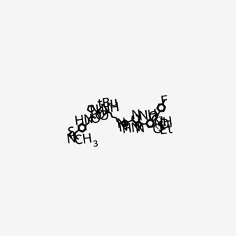 CCS(=O)(=O)Nc1ccc(-c2n[nH]c3c(-c4cnn(CCCCC(=O)N[C@H](C(=O)N5CCC[C@H]5C(=O)NCc5ccc(-c6scnc6C)cc5)C(C)(C)C)c4)cnc(N)c23)cc1OCc1ccc(F)cc1